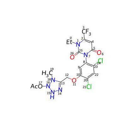 CCn1c(C(F)(F)F)cc(=O)n(-c2cc(OCC3=NNN(OC(C)=O)N3C)c(Cl)cc2Cl)c1=O